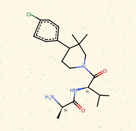 CC(C)[C@@H](NC(=O)[C@@H](C)N)C(=O)N1CCC(c2ccc(Cl)cc2)C(C)(C)C1